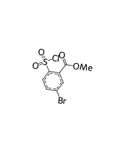 COC(=O)c1cc(Br)ccc1S(=O)(=O)Cl